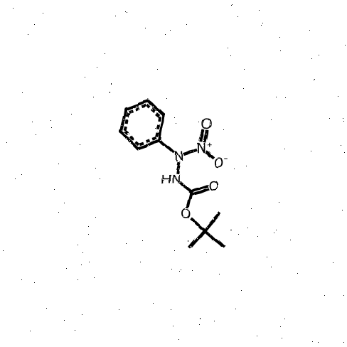 CC(C)(C)OC(=O)NN(c1ccccc1)[N+](=O)[O-]